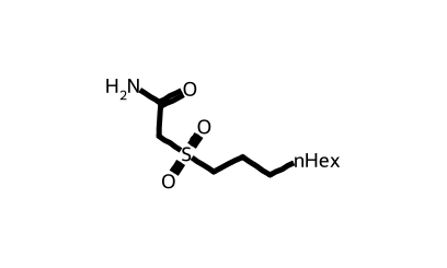 CCCCCCCCCS(=O)(=O)CC(N)=O